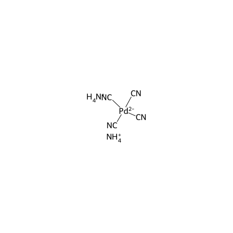 N#[C][Pd-2]([C]#N)([C]#N)[C]#N.[NH4+].[NH4+]